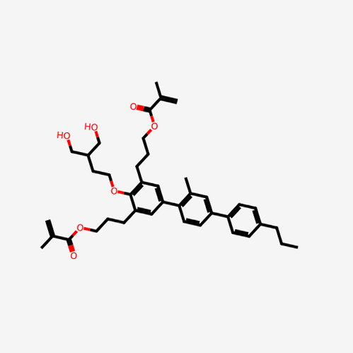 C=C(C)C(=O)OCCCc1cc(-c2ccc(-c3ccc(CCC)cc3)cc2C)cc(CCCOC(=O)C(=C)C)c1OCCC(CO)CO